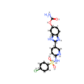 NC(=O)Oc1ccc2nc(-c3ccc(NS(=O)(=O)c4ccc(Cl)cc4)nc3)[nH]c2c1